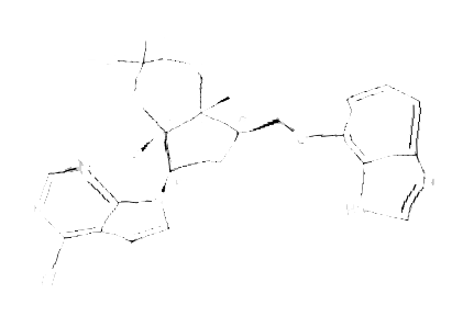 CC1(C)O[C@@H]2[C@@H](COc3cccc4nc[nH]c34)C[C@@H](n3ccc4c(Cl)ncnc43)[C@@H]2O1